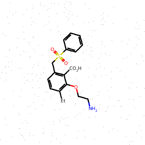 CCc1ccc(CS(=O)(=O)c2ccccc2)c(C(=O)O)c1OCCN